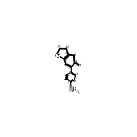 Cc1cc2c(cc1-c1ccc(N)nc1)OCC2